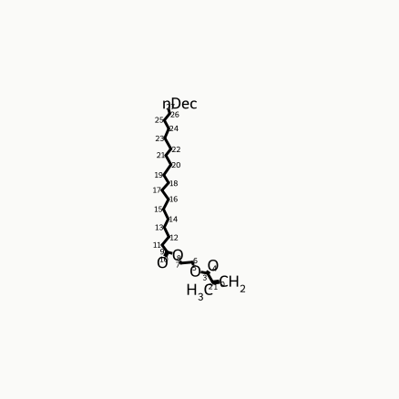 C=C(C)C(=O)OCCOC(=O)CCCCCCCCCCCCCCCCCCCCCCCCCC